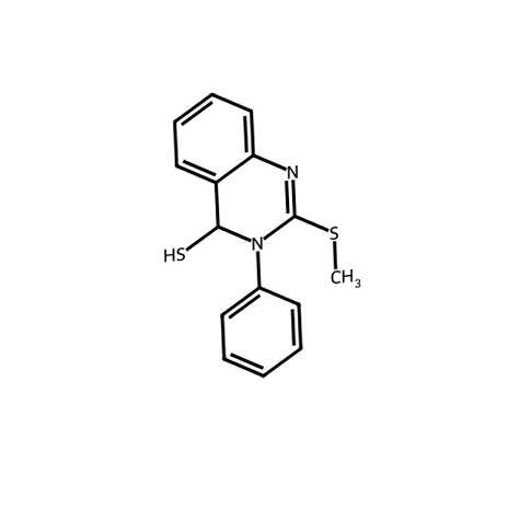 CSC1=Nc2ccccc2C(S)N1c1ccccc1